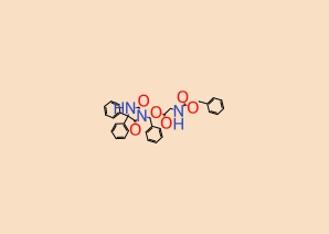 O=C(CNC(=O)OCc1ccccc1)OC(c1ccccc1)N1C(=O)NC(c2ccccc2)(c2ccccc2)C1=O